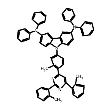 Cc1ccccc1-c1cc(-c2ccc(-n3c4ccc(N(c5ccccc5)c5ccccc5)cc4c4cc(N(c5ccccc5)c5ccccc5)ccc43)cc2C)nc(-c2ccccc2C)n1